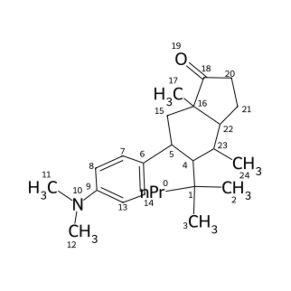 CCCC(C)(C)C1C(c2ccc(N(C)C)cc2)CC2(C)C(=O)CCC2C1C